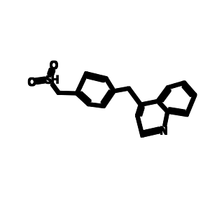 O=[SH](=O)Cc1ccc(Cc2ccnc3ccccc23)cc1